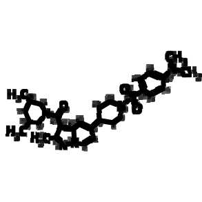 Cc1nn2ccc(C3CCN(S(=O)(=O)c4ccc(N(C)C)cc4)CC3)cc2c1C(=O)N1CC(C)CC(C)C1